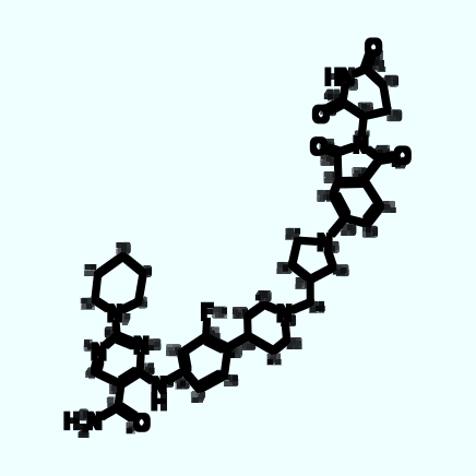 NC(=O)c1cnc(N2CCCCC2)nc1Nc1ccc(C2CCN(CC3CCN(c4ccc5c(c4)C(=O)N(C4CCC(=O)NC4=O)C5=O)C3)CC2)c(F)c1